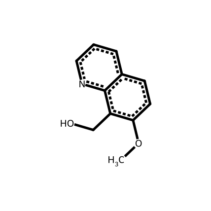 COc1ccc2cccnc2c1CO